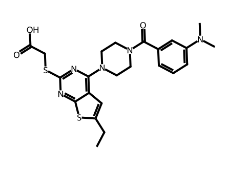 CCc1cc2c(N3CCN(C(=O)c4cccc(N(C)C)c4)CC3)nc(SCC(=O)O)nc2s1